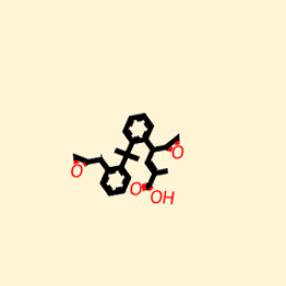 CC(=CC(c1ccccc1C(C)(C)c1ccccc1[CH]C1CO1)C1CO1)C(=O)O